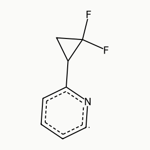 FC1(F)CC1c1ccc[c]n1